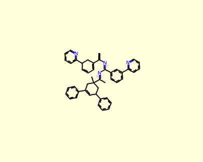 C=C(/N=C(\N=C(/C)C1(C)CC(c2ccccc2)=CC(c2ccccc2)C1)c1cccc(-c2ccccn2)c1)C1=CC=CC(c2ccccn2)C1